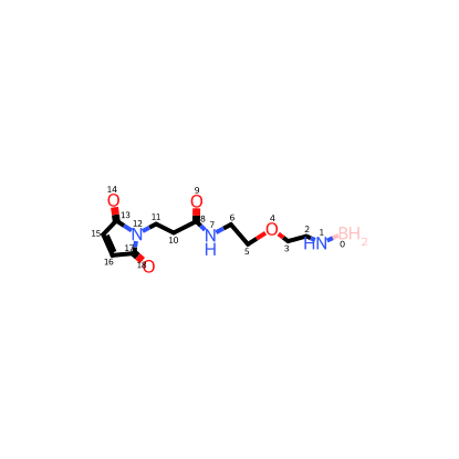 BNCCOCCNC(=O)CCN1C(=O)C=CC1=O